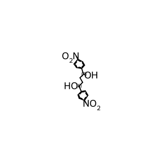 O=[N+]([O-])c1ccc([C@H](O)CC[C@H](O)c2ccc([N+](=O)[O-])cc2)cc1